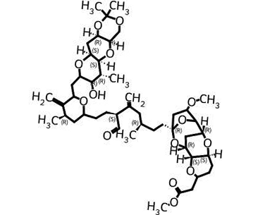 C=C1C(CC2O[C@H]3C[C@H]4OC(C)(C)OC[C@H]4O[C@H]3[C@H](C)[C@H]2O)OC(CC[C@H](C=O)C(=C)C[C@H](C)CC[C@]23CC(OC)C(O2)[C@H]2C[C@@H](O3)[C@H]3OC(CC(=O)OC)CC[C@@H]3O2)C[C@H]1C